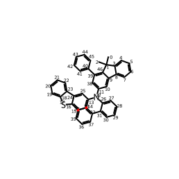 CC1(C)c2ccccc2-c2cc(N(c3ccc4sc5ccccc5c4c3)c3ccccc3-c3ccccc3)cc(-c3ccccc3)c21